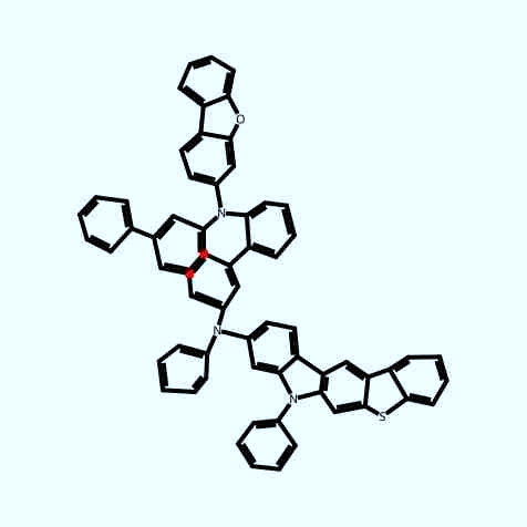 c1ccc(-c2cccc(N(c3ccc4c(c3)oc3ccccc34)c3ccccc3-c3cccc(N(c4ccccc4)c4ccc5c6cc7c(cc6n(-c6ccccc6)c5c4)sc4ccccc47)c3)c2)cc1